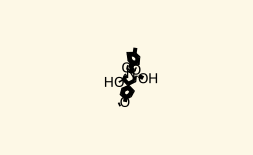 COc1ccc([C@H]2C[C@@H](CO)N(S(=O)(=O)c3ccc(C)cc3)C[C@@H]2O)cc1